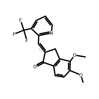 COc1ccc2c(c1OC)C/C(=C\c1ncccc1C(F)(F)F)C2=O